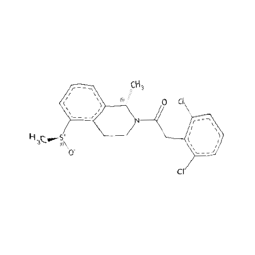 C[C@H]1c2cccc([S@+](C)[O-])c2CCN1C(=O)Cc1c(Cl)cccc1Cl